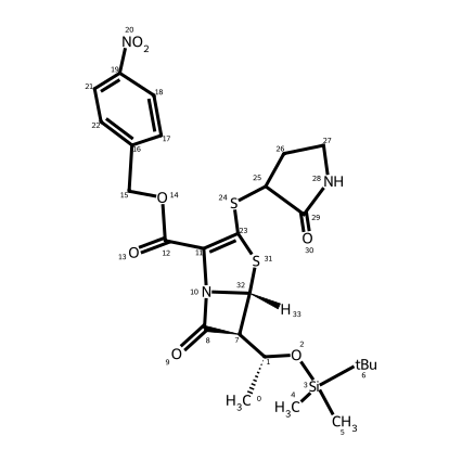 C[C@@H](O[Si](C)(C)C(C)(C)C)[C@H]1C(=O)N2C(C(=O)OCc3ccc([N+](=O)[O-])cc3)=C(SC3CCNC3=O)S[C@H]12